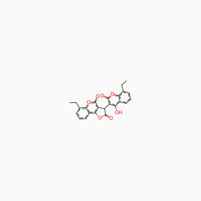 CCc1cccc2c(O)c(C3C(=O)Oc4c3c(=O)oc3c(CC)cccc43)c(=O)oc12